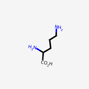 N[CH][CH]CC(N)C(=O)O